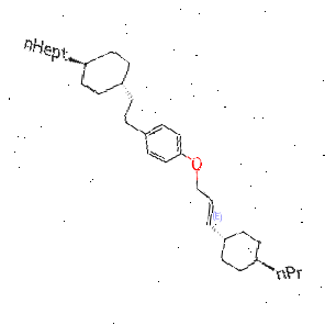 CCCCCCC[C@H]1CC[C@H](CCc2ccc(OC/C=C/[C@H]3CC[C@H](CCC)CC3)cc2)CC1